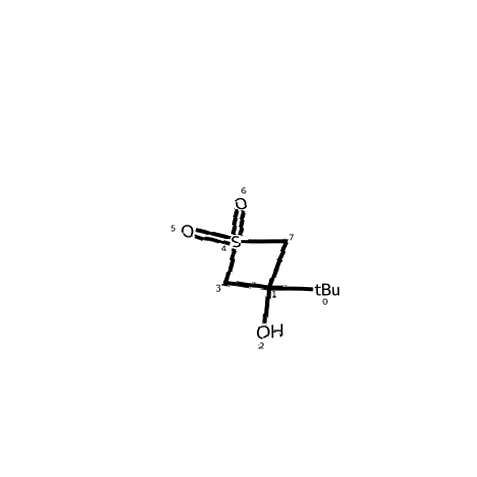 CC(C)(C)C1(O)CS(=O)(=O)C1